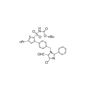 CCCCOC(=O)NS(=O)(=O)c1sc(CCC)cc1-c1ccc(Cn2c(-c3ccccc3)nc(Cl)c2C=O)cc1